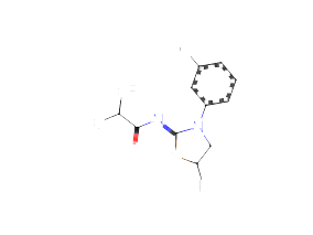 CCC1CN(c2cccc(C(F)(F)F)c2)C(=NC(=O)C(C(F)(F)F)C(F)(F)F)S1